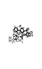 CC(C)(C)OC(=O)Nc1ncccc1-c1cc2c(cc1F)c(=O)c1c(=O)[nH]sc1n2C1CC1